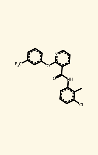 Cc1c(Cl)cccc1NC(=O)c1cccnc1Oc1cccc(C(F)(F)F)c1